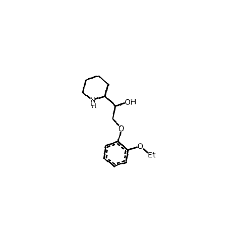 CCOc1ccccc1OCC(O)C1CCCCN1